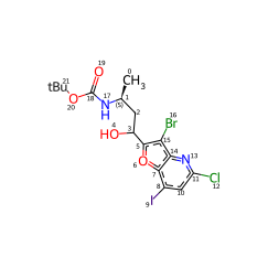 C[C@@H](CC(O)c1oc2c(I)cc(Cl)nc2c1Br)NC(=O)OC(C)(C)C